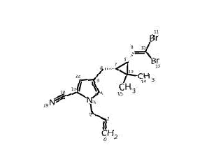 C=CCn1cc(C[C@@H]2[C@H](C=C(Br)Br)C2(C)C)cc1C#N